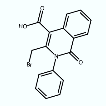 O=C(O)c1c(CBr)n(-c2ccccc2)c(=O)c2ccccc12